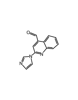 O=Cc1cc(-n2ccnc2)nc2ccccc12